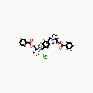 C[N+](C)(CCOC(=O)c1ccccc1)Cc1ccc(C[N+](C)(C)CCOC(=O)c2ccccc2)cc1.[Cl-].[Cl-]